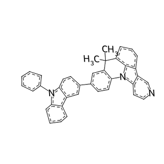 CC1(C)c2cc(-c3ccc4c(c3)c3ccccc3n4-c3ccccc3)ccc2-n2c3ccncc3c3cccc1c32